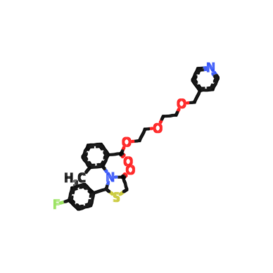 Cc1cccc(C(=O)OCCOCCOCc2ccncc2)c1N1C(=O)CSC1c1ccc(F)cc1